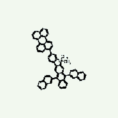 C[Si]1(C)c2cc(-c3ccc4c5cccc6cccc(c7cccc3c74)c65)ccc2-c2cc3c(-c4ccc5ccccc5c4)c4ccccc4c(-c4ccc5ccccc5c4)c3cc21